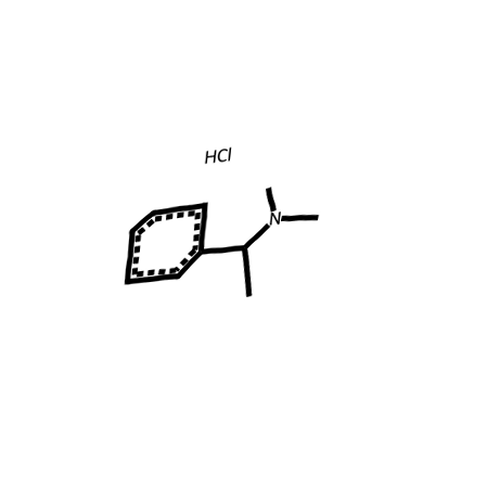 CC(c1ccccc1)N(C)C.Cl